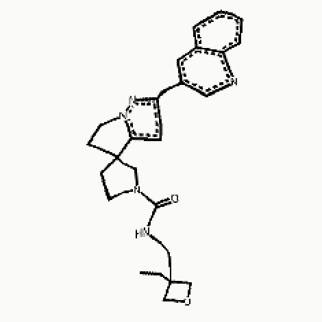 CC1(CNC(=O)N2CCC3(CCn4nc(-c5cnc6ccccc6c5)cc43)C2)COC1